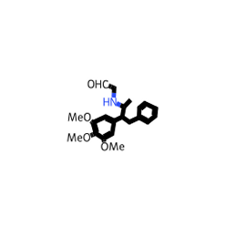 COc1cc(C(Cc2ccccc2)C(C)NCC=O)cc(OC)c1OC